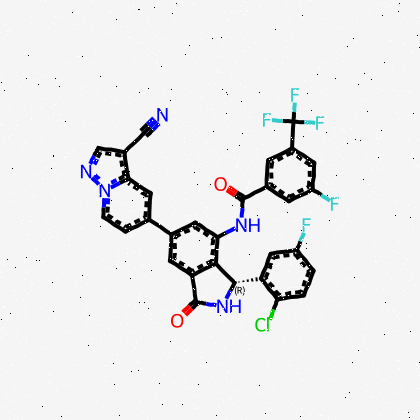 N#Cc1cnn2ccc(-c3cc(NC(=O)c4cc(F)cc(C(F)(F)F)c4)c4c(c3)C(=O)N[C@H]4c3cc(F)ccc3Cl)cc12